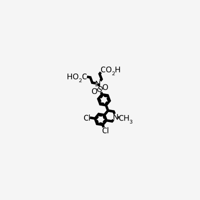 CN1Cc2c(Cl)cc(Cl)cc2C(c2ccc(S(=O)(=O)N(CCC(=O)O)CCC(=O)O)cc2)C1